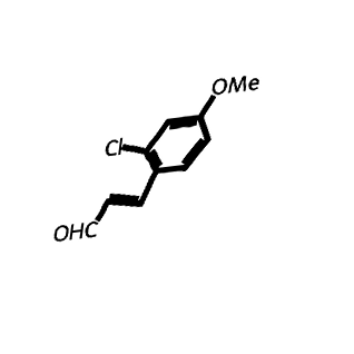 COc1ccc(C=CC=O)c(Cl)c1